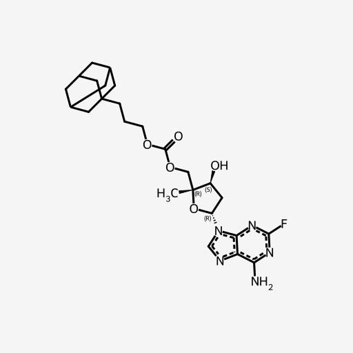 C[C@]1(COC(=O)OCCCC23CC4CC(CC(C4)C2)C3)O[C@@H](n2cnc3c(N)nc(F)nc32)C[C@@H]1O